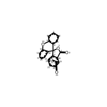 O=C1OC2(c3ccccc3Oc3ccccc32)c2c1c1ccc2oc1=O